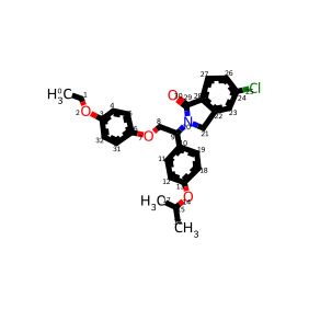 CCOc1ccc(OCC(c2ccc(OC(C)C)cc2)N2Cc3cc(Cl)ccc3C2=O)cc1